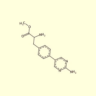 COC(=O)C(N)Cc1ccc(-c2cnc(N)nc2)cc1